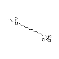 CC=CC(=O)OCCCCCCCCCCCCC[Si](Cl)(Cl)Cl